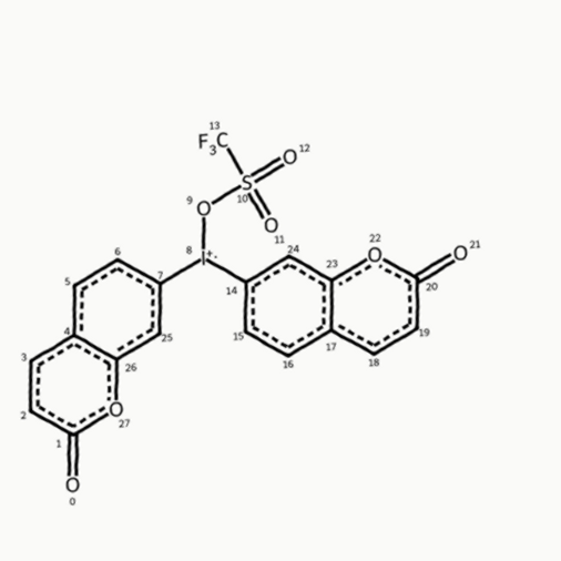 O=c1ccc2ccc([I+](OS(=O)(=O)C(F)(F)F)c3ccc4ccc(=O)oc4c3)cc2o1